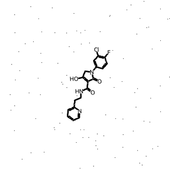 O=C(NCCc1ccccn1)C1=C(O)CN(c2ccc(F)c(Cl)c2)C1=O